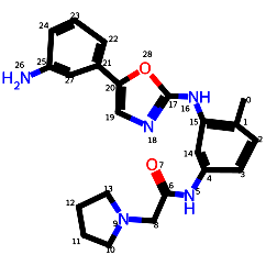 Cc1ccc(NC(=O)CN2CCCC2)cc1Nc1ncc(-c2cccc(N)c2)o1